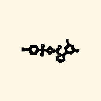 O=C(N1CC(S(=O)(=O)c2ccc(Br)cc2)C1)N1N=CCC1c1cc(F)cc(F)c1